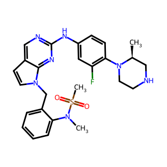 C[C@H]1CNCCN1c1ccc(Nc2ncc3ccn(Cc4ccccc4N(C)S(C)(=O)=O)c3n2)cc1F